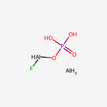 O=P(O)(O)[O][AlH][F].[AlH3]